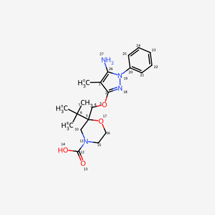 Cc1c(OCC2(C(C)(C)C)CN(C(=O)O)CCO2)nn(-c2ccccc2)c1N